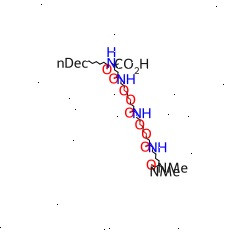 CCCCCCCCCCCCCCCC(=O)NC(CCC(=O)NCCOCCOCCC(=O)NCCOCCOCCC(=O)NCCCCC(NC)C(=O)NC)C(=O)O